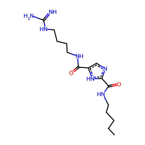 CCCCCNC(=O)c1ncc(C(=O)NCCCCNC(=N)N)[nH]1